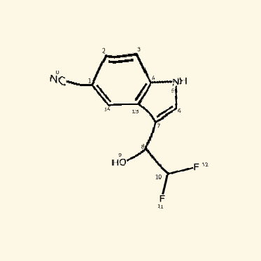 N#Cc1ccc2[nH]cc(C(O)C(F)F)c2c1